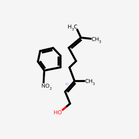 CC(C)=CCC/C(C)=C/CO.O=[N+]([O-])c1ccccc1